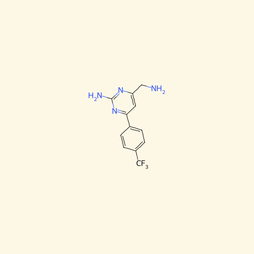 NCc1cc(-c2ccc(C(F)(F)F)cc2)nc(N)n1